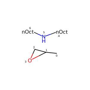 CC1CO1.CCCCCCCCNCCCCCCCC